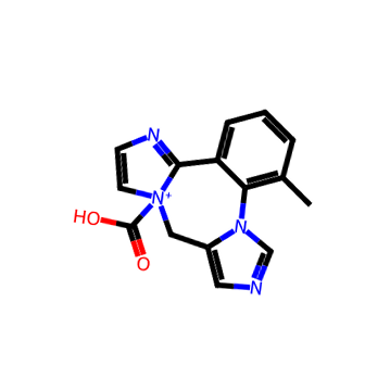 Cc1cccc2c1-n1cncc1C[N+]1(C(=O)O)C=CN=C21